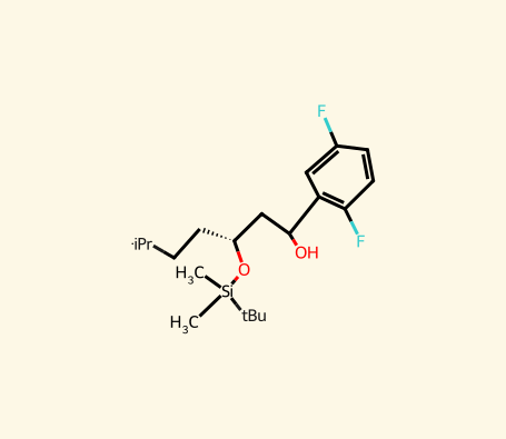 C[C](C)CC[C@H](CC(O)c1cc(F)ccc1F)O[Si](C)(C)C(C)(C)C